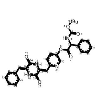 CC(C)(C)OC(=O)NC(C(=O)Oc1ccc(C=c2[nH]c(=O)/c(=C/c3ccccc3)[nH]c2=O)nc1)c1ccccc1